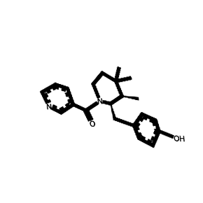 C[C@H]1[C@@H](Cc2ccc(O)cc2)N(C(=O)c2cccnc2)CCC1(C)C